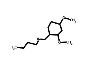 CCCCNCC1CCC(OC)CC1OC